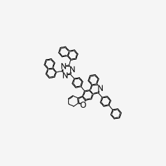 C1=Cc2c(oc3cc4c(-c5ccc(-c6ccccc6)cc5)nc5ccccc5c4c(-c4ccc(-c5nc(-c6cccc7ccccc67)nc(-c6cccc7ccccc67)n5)cc4)c23)CC1